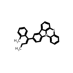 CC/C=C(/c1ccc2c(c1)c1cccc3c1n2-c1ccccc1S3)c1ccccc1C